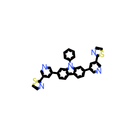 c1ccc(-n2c3cc(-c4cncc(-c5nccs5)c4)ccc3c3ccc(-c4cncc(-c5nccs5)c4)cc32)cc1